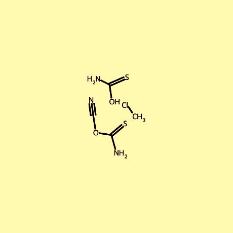 CCl.N#COC(N)=S.NC(O)=S